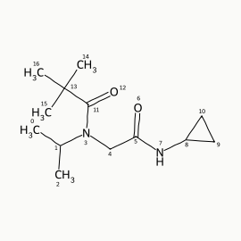 CC(C)N(CC(=O)NC1CC1)C(=O)C(C)(C)C